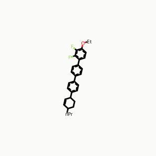 CCCC1C=CC(c2ccc(-c3ccc(-c4ccc(OCC)c(F)c4F)cc3)cc2)CC1